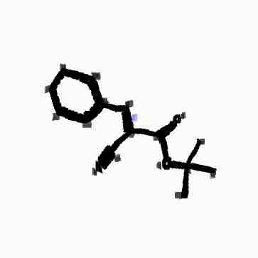 CC(C)(C)OC(=O)/C(C#N)=C/c1ccccc1